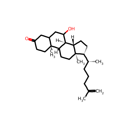 C=C(C)CCC[C@@H](C)[C@H]1CC[C@H]2[C@@H]3C(O)CC4CC(=O)CC[C@]4(C)[C@H]3CC[C@]12C